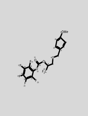 COc1ccc(COCC(OC(=O)Oc2c(F)c(F)c(F)c(F)c2F)C(F)(F)F)cc1